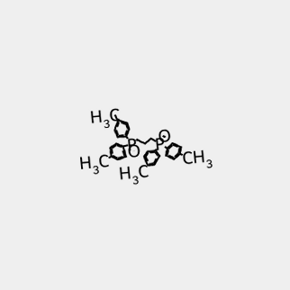 Cc1ccc(P(=O)(CCCP(=O)(c2ccc(C)cc2)c2ccc(C)cc2)c2ccc(C)cc2)cc1